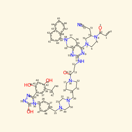 C=CC(=O)N1CCN(c2nc(NCCC(=O)N3CCC(CN4CCN(Cc5ccc(-n6c(O)nnc6-c6cc(C(C)C)c(O)cc6O)cc5)CC4)CC3)nc3c2CCN(c2cccc4ccccc24)C3)CC1CC#N